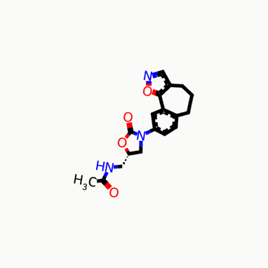 CC(=O)NC[C@H]1CN(c2ccc3c(c2)-c2oncc2CCC3)C(=O)O1